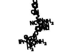 CC(C)C(N)C(=O)O[C@H](COC(=O)[C@@H](N)C(C)C)COc1ccc(-c2c(C#N)c(N)nc(SCc3coc(-c4ccc(Cl)cc4)n3)c2C#N)cc1.Cl.Cl